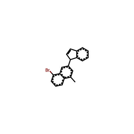 Cc1cc(C2C=Cc3ccccc32)cc2c(Br)cccc12